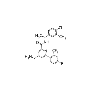 Cc1cc([C@H](C)NC(=O)c2cc(CN)cc(-c3ccc(F)cc3C(F)(F)F)n2)ccc1Cl